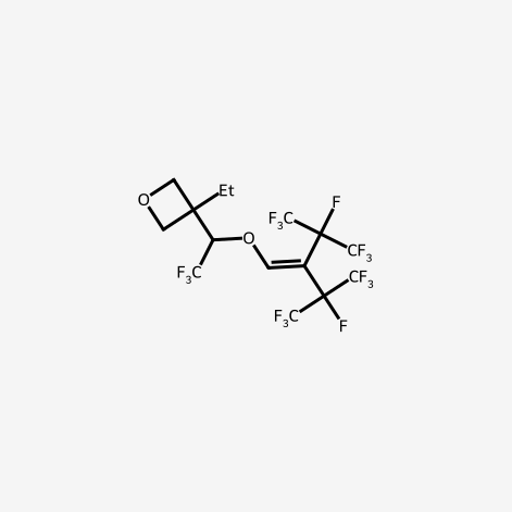 CCC1(C(OC=C(C(F)(C(F)(F)F)C(F)(F)F)C(F)(C(F)(F)F)C(F)(F)F)C(F)(F)F)COC1